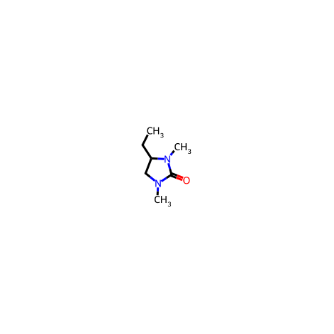 CCC1CN(C)C(=O)N1C